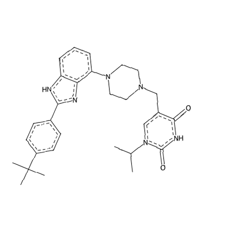 CC(C)n1cc(CN2CCN(c3cccc4[nH]c(-c5ccc(C(C)(C)C)cc5)nc34)CC2)c(=O)[nH]c1=O